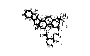 CC(C)C[C@@H](C(=O)O[C@H]1C[C@H]2Cc3c([nH]c4ccccc34)[C@]2(C)[C@@]2(C)CC[C@@]34OC(C(=O)C=C3[C@]12O)C(C)(C)O4)N(C)C